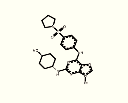 CCn1cnc2c(Nc3ccc(S(=O)(=O)N4CCCC4)cc3)nc(N[C@H]3CC[C@H](O)CC3)nc21